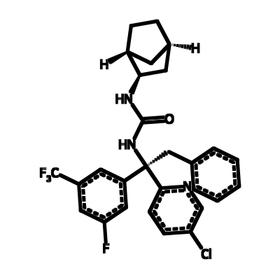 O=C(N[C@@H]1C[C@@H]2CC[C@@H]1C2)N[C@](Cc1ccccc1)(c1cc(F)cc(C(F)(F)F)c1)c1ccc(Cl)cn1